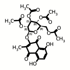 CC(=O)OC[C@H]1O[C@@H](OC2=C(C)C(=O)c3c(O)ccc(O)c3C2=O)[C@H](OC(C)=O)[C@@H](OC(C)=O)[C@@H]1OC(C)=O